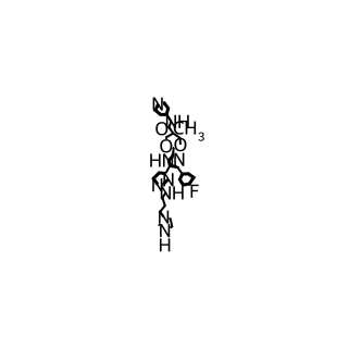 CC1(C(=O)Nc2ccncc2)COC(c2nc(-c3ccc(F)cc3)c(-c3ccnc(NCCCN4CCNC4)n3)[nH]2)OC1